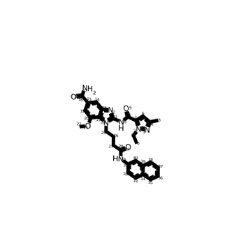 CCn1nc(C)cc1C(=O)Nc1nc2cc(C(N)=O)cc(OC)c2n1CCCC(=O)Nc1ccc2ccccc2c1